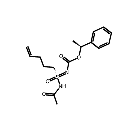 C=CCCC[S@](=O)(=NC(=O)O[C@@H](C)c1ccccc1)NC(C)=O